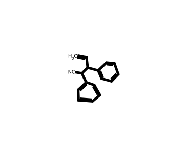 C=CC(c1ccccc1)C(C#N)c1ccccc1